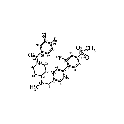 CN(Cc1cnc(-c2ccc(S(C)(=O)=O)cc2F)cn1)C1CCN(C(=O)c2ccc(Cl)c(Cl)c2)CC1